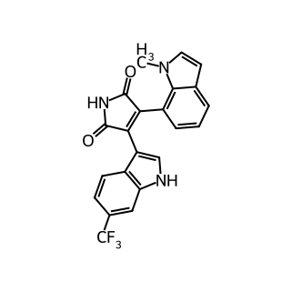 Cn1ccc2cccc(C3=C(c4c[nH]c5cc(C(F)(F)F)ccc45)C(=O)NC3=O)c21